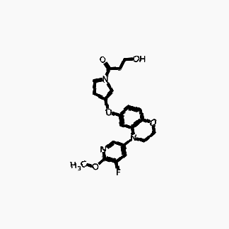 COc1ncc(N2CCOc3ccc(OC4CCN(C(=O)CCO)C4)cc32)cc1F